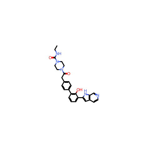 CCNC(=O)N1CCN(C(=O)Cc2ccc(-c3cccc(-c4cc5ccncc5[nH]4)c3O)cc2)CC1